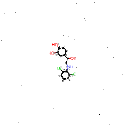 Oc1ccc(C(O)CNc2c(Cl)cccc2Cl)cc1O